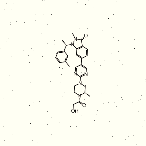 Cc1cccc([C@@H](C)n2c3cc(-c4cnc(N5CCN(C(=O)CO)[C@H](C)C5)nc4)ccc3c(=O)n2C)c1